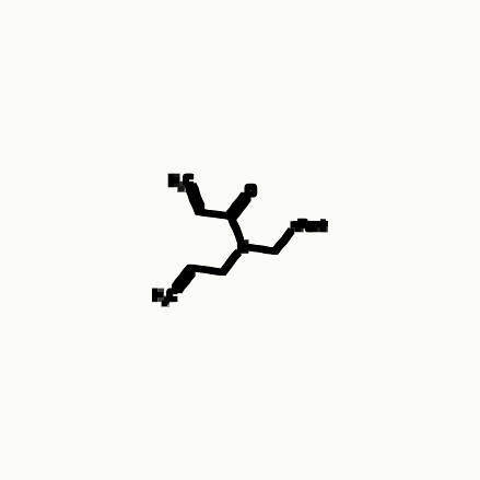 C=CCN(CCCCCC)C(=O)C=C